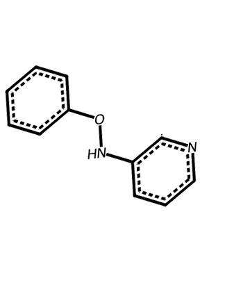 [c]1ncccc1NOc1ccccc1